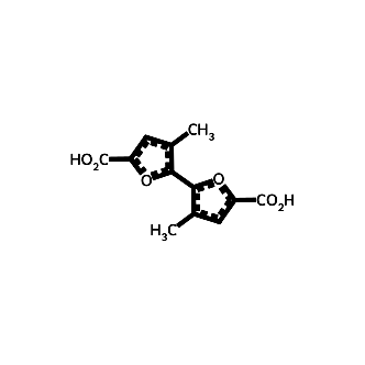 Cc1cc(C(=O)O)oc1-c1oc(C(=O)O)cc1C